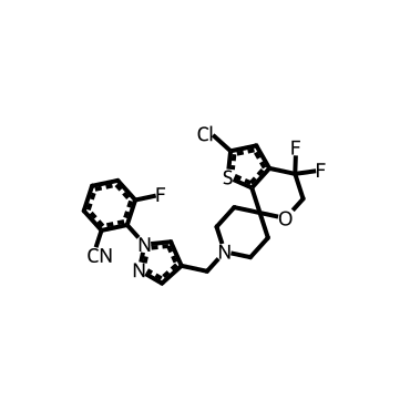 N#Cc1cccc(F)c1-n1cc(CN2CCC3(CC2)OCC(F)(F)c2cc(Cl)sc23)cn1